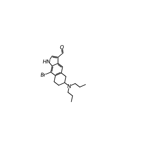 CCCN(CCC)C1CCc2c(cc3c(C=O)c[nH]c3c2Br)C1